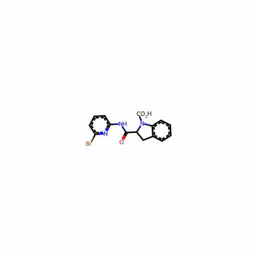 O=C(Nc1cccc(Br)n1)C1Cc2ccccc2N1C(=O)O